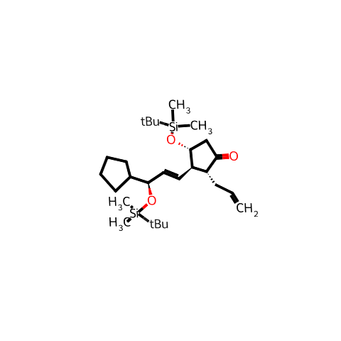 C=CC[C@H]1C(=O)C[C@@H](O[Si](C)(C)C(C)(C)C)[C@@H]1C=C[C@@H](O[Si](C)(C)C(C)(C)C)C1CCCC1